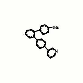 CC(C)(C)c1ccc(-c2cc[c]cc2-c2ccc(-c3cccnc3)cc2)cc1